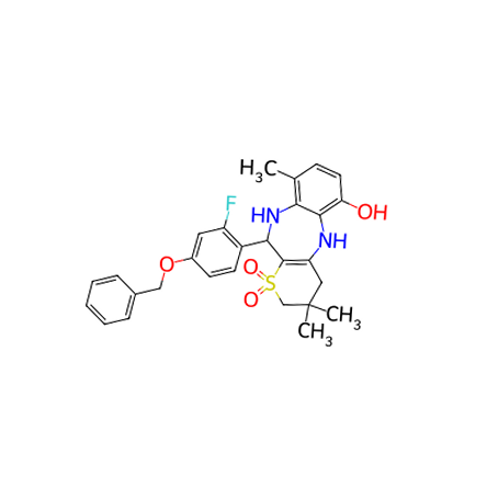 Cc1ccc(O)c2c1NC(c1ccc(OCc3ccccc3)cc1F)C1=C(CC(C)(C)CS1(=O)=O)N2